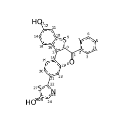 O=C(c1ccccc1)c1sc2cc(O)ccc2c1-c1ccc(-c2ncc(O)s2)cc1